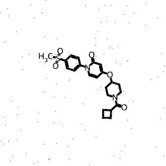 CS(=O)(=O)c1ccc(-n2ccc(OC3CCN(C(=O)C4CCC4)CC3)cc2=O)cc1